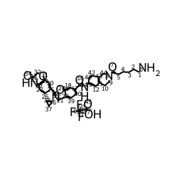 NCCCCCC(=O)N1CCc2cc(NC(=O)c3ccc(CN(C(=O)c4ccc5c(c4)OCC(=O)N5)C4CC4)cc3)ccc2C1.O=C(O)C(F)(F)F